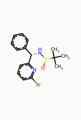 CC(C)(C)[S+]([O-])N[C@@H](c1ccccc1)c1cccc(Br)n1